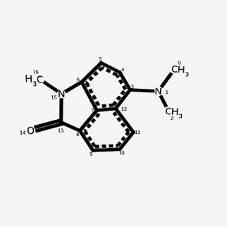 CN(C)c1ccc2c3c(cccc13)C(=O)N2C